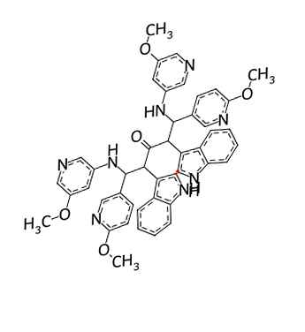 COc1cncc(NC(c2ccc(OC)nc2)C(C(=O)C(c2c[nH]c3ccccc23)C(Nc2cncc(OC)c2)c2ccc(OC)nc2)c2c[nH]c3ccccc23)c1